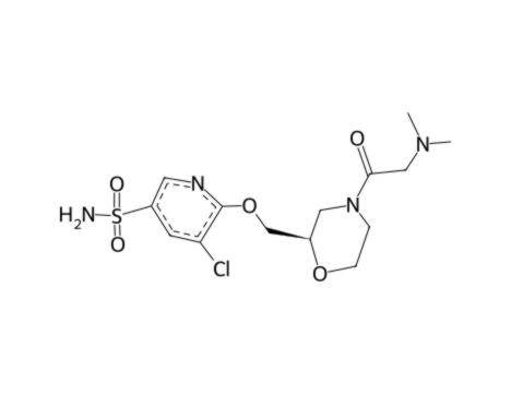 CN(C)CC(=O)N1CCO[C@@H](COc2ncc(S(N)(=O)=O)cc2Cl)C1